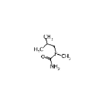 CC(C)CP(C)C(N)=O